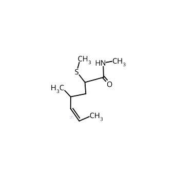 C/C=C\C(C)CC(SC)C(=O)NC